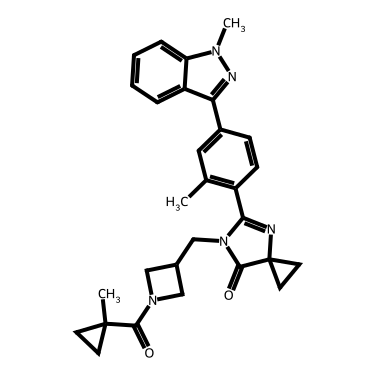 Cc1cc(-c2nn(C)c3ccccc23)ccc1C1=NC2(CC2)C(=O)N1CC1CN(C(=O)C2(C)CC2)C1